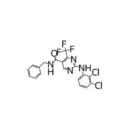 O=C(NCc1ccccc1)c1cnc(Nc2cccc(Cl)c2Cl)nc1C(F)(F)F